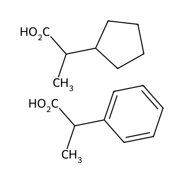 CC(C(=O)O)C1CCCC1.CC(C(=O)O)c1ccccc1